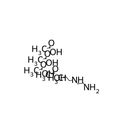 CC(=O)O.CC(=O)O.CC(=O)O.CC(=O)O.CCCNCCN